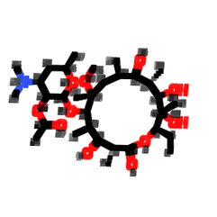 CC[C@H]1OC(=O)[C@H](C)C(=O)C(C)[C@@H](O[C@@H]2O[C@H](C)C[C@H](N(C)C)C2OC(C)=O)[C@](C)(OC)C[C@@H](C)C(=O)[C@H](C)[C@@H](O)[C@]1(C)O